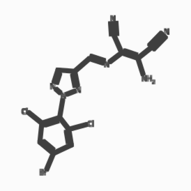 N#CC(N)=C(C#N)N=Cc1cnn(-c2c(Cl)cc(Br)cc2Cl)n1